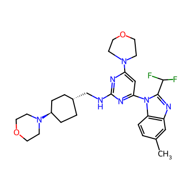 Cc1ccc2c(c1)nc(C(F)F)n2-c1cc(N2CCOCC2)nc(NC[C@H]2CC[C@H](N3CCOCC3)CC2)n1